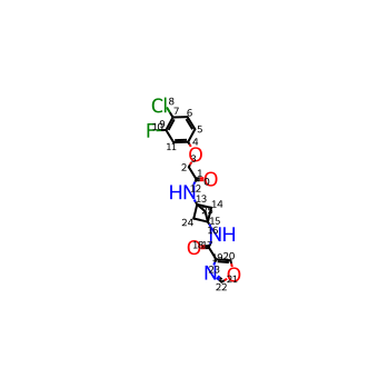 O=C(COc1ccc(Cl)c(F)c1)NC12CC(NC(=O)c3cocn3)(C1)C2